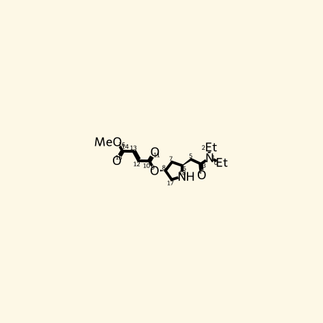 CCN(CC)C(=O)C[C@@H]1C[C@@H](OC(=O)/C=C/C(=O)OC)CN1